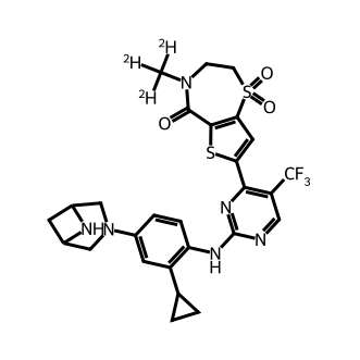 [2H]C([2H])([2H])N1CCS(=O)(=O)c2cc(-c3nc(Nc4ccc(N5CC6CC(C5)N6)cc4C4CC4)ncc3C(F)(F)F)sc2C1=O